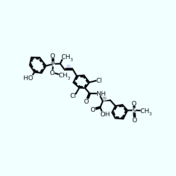 COP(=O)(c1cccc(O)c1)C(C)/C=C/c1cc(Cl)c(C(=O)N[C@@H](Cc2cccc(S(C)(=O)=O)c2)C(=O)O)c(Cl)c1